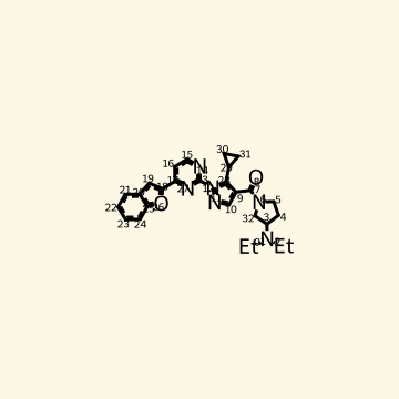 CCN(CC)C1CCN(C(=O)c2cnn(-c3nccc(-c4cc5ccccc5o4)n3)c2C2CC2)C1